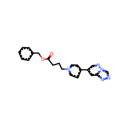 O=C(CCC[n+]1ccc(-c2cnn3cnnc3c2)cc1)OCc1ccccc1